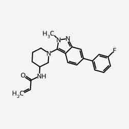 C=CC(=O)NC1CCCN(c2c3ccc(-c4cccc(F)c4)cc3nn2C)C1